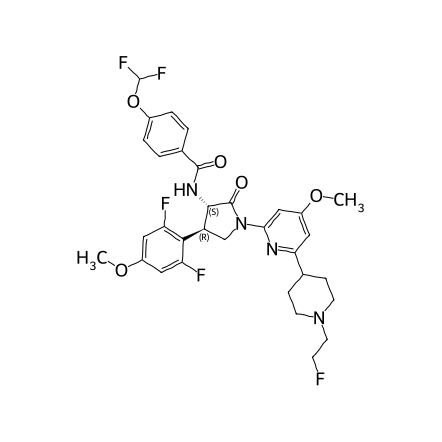 COc1cc(C2CCN(CCF)CC2)nc(N2C[C@@H](c3c(F)cc(OC)cc3F)[C@H](NC(=O)c3ccc(OC(F)F)cc3)C2=O)c1